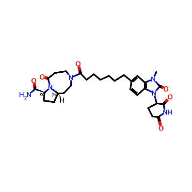 Cn1c(=O)n(C2CCC(=O)NC2=O)c2ccc(CCCCCCC(=O)N3CCC(=O)N4[C@H](CC[C@H]4C(N)=O)CC3)cc21